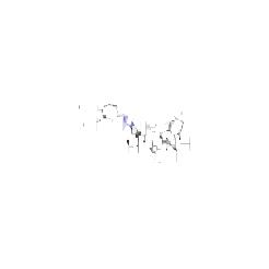 CC1NC(C(=O)N/N=C/c2ccc(Cl)c(Cl)c2)Cc2c1[nH]c1ccccc21